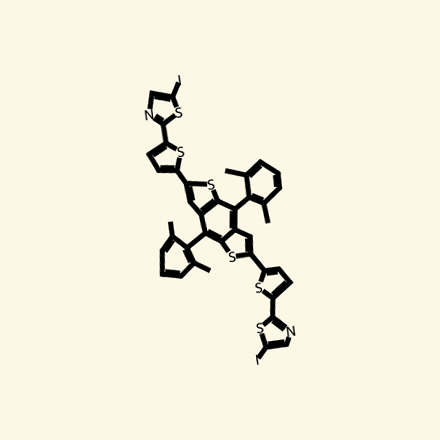 Cc1cccc(C)c1-c1c2cc(-c3ccc(-c4ncc(I)s4)s3)sc2c(-c2c(C)cccc2C)c2cc(-c3ccc(-c4ncc(I)s4)s3)sc12